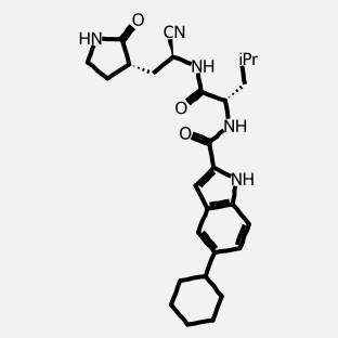 CC(C)C[C@H](NC(=O)c1cc2cc(C3CCCCC3)ccc2[nH]1)C(=O)N[C@H](C#N)C[C@@H]1CCNC1=O